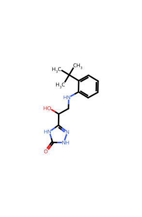 CC(C)(C)c1ccccc1NCC(O)c1n[nH]c(=O)[nH]1